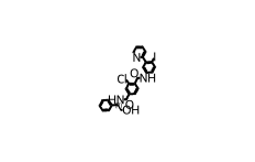 O=C(N[C@@H](CO)c1ccccc1)c1ccc(C(=O)Nc2ccc(I)c(-c3ccccn3)c2)c(Cl)c1